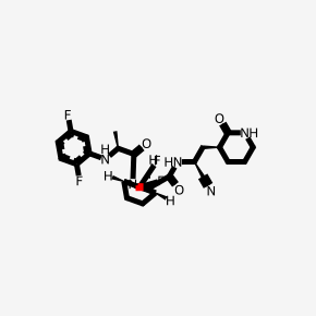 C[C@H](Nc1cc(F)ccc1F)C(=O)N1[C@H]2CC[C@@H]([C@@H]1C(=O)N[C@H](C#N)C[C@@H]1CCCNC1=O)C(F)(F)C2